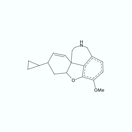 COc1ccc2c3c1OC1CC(C4CC4)C=CC31CCNC2